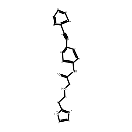 O=C(CNCCc1ncc[nH]1)Nc1ccc(C#Cc2ccccc2)cc1